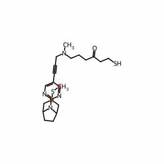 CSN1CC2CCC(C1)N2c1ncc(C#CCN(C)CCCC(=O)CCS)cn1